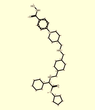 O=C(NO)c1ccc(N2CCC(CNCC3CCC(CNC(C(=O)OC4CCCC4)C4CCCCC4)CC3)CC2)cc1